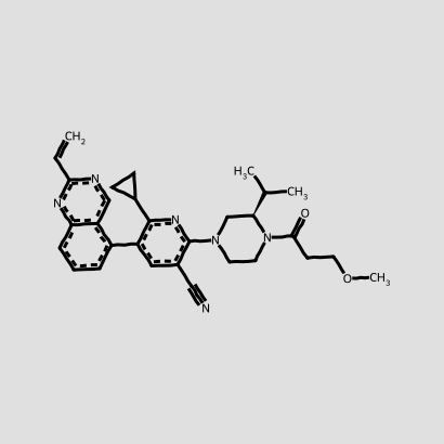 C=Cc1ncc2c(-c3cc(C#N)c(N4CCN(C(=O)CCOC)[C@H](C(C)C)C4)nc3C3CC3)cccc2n1